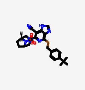 CC(C)(C)c1ccc(CSc2nc(N3CC4CC[C@@H](C3)N4C(=O)O)c(C#N)c3[nH]cnc23)cc1